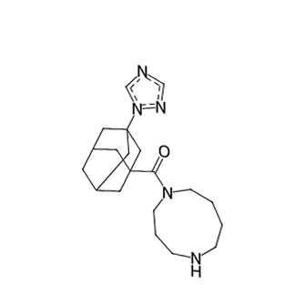 O=C(N1CCCCNCCC1)C12CC3CC(C1)CC(n1cncn1)(C3)C2